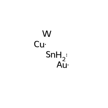 [Au].[Cu].[SnH2].[W]